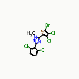 Cn1nc(-c2c(Cl)cccc2Cl)nc1-c1sc(Br)c(Cl)c1Cl